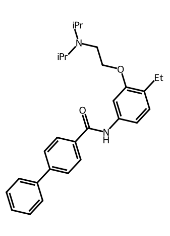 CCc1ccc(NC(=O)c2ccc(-c3ccccc3)cc2)cc1OCCN(C(C)C)C(C)C